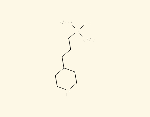 CO[Si](C)(CCCC1CCNCC1)OC